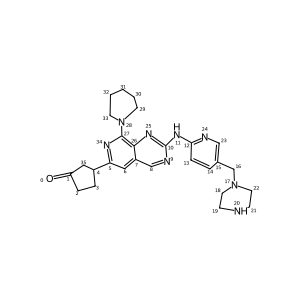 O=C1CCC(c2cc3cnc(Nc4ccc(CN5CCNCC5)cn4)nc3c(N3CCCCC3)n2)C1